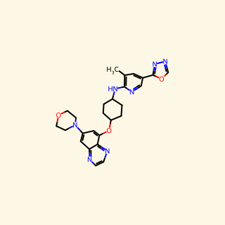 Cc1cc(-c2nnco2)cnc1NC1CCC(Oc2cc(N3CCOCC3)cc3nccnc23)CC1